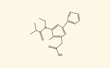 CCN(C(=O)C(C)C)c1cc(-c2ccccc2)cc(CC(=O)O)c1C